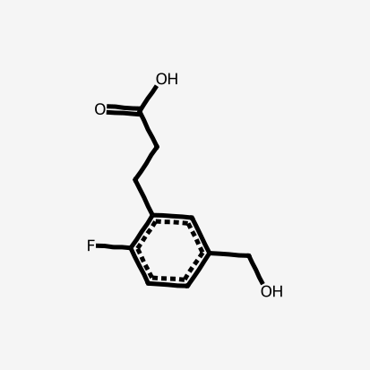 O=C(O)CCc1cc(CO)ccc1F